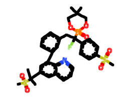 CC1(C)COP(=O)(C(F)(Cc2cccc(-c3cc(C(C)(C)S(C)(=O)=O)cc4cccnc34)c2)c2ccc(S(C)(=O)=O)cc2)OC1